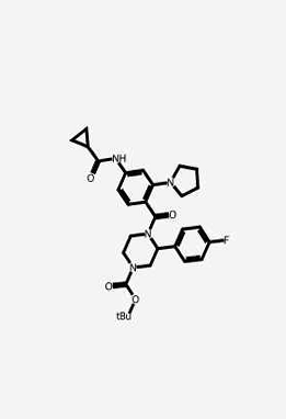 CC(C)(C)OC(=O)N1CCN(C(=O)c2ccc(NC(=O)C3CC3)cc2N2CCCC2)C(c2ccc(F)cc2)C1